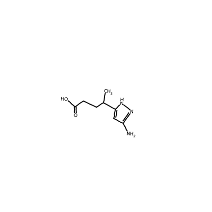 CC(CCC(=O)O)c1cc(N)n[nH]1